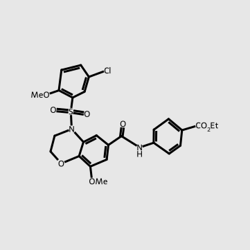 CCOC(=O)c1ccc(NC(=O)c2cc(OC)c3c(c2)N(S(=O)(=O)c2cc(Cl)ccc2OC)CCO3)cc1